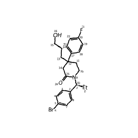 CC[C@@H](c1ccc(Br)cc1)N1CCC(CCCO)(c2ccc(F)cc2)CC1=O